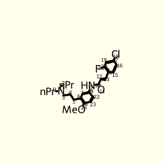 CCCN(CCC)CCCc1cc(NC(=O)C=Cc2ccc(Cl)cc2F)ccc1OC